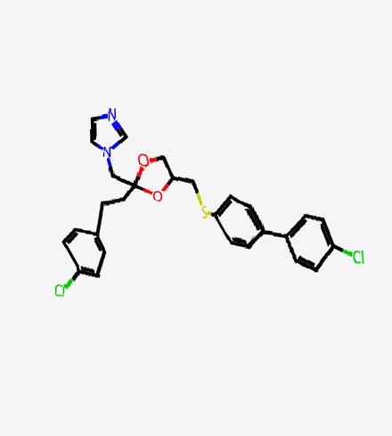 Clc1ccc(CCC2(Cn3ccnc3)OCC(CSc3ccc(-c4ccc(Cl)cc4)cc3)O2)cc1